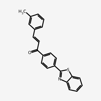 Cc1cccc(C=CC(=O)c2ccc(-c3nc4ccccc4s3)cc2)c1